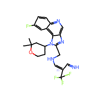 CC1(C)CC(n2c(CN/C=C(\C=N)C(F)(F)F)nc3cnc4ccc(F)cc4c32)CCO1